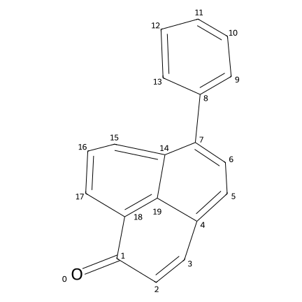 O=C1C=Cc2ccc(-c3ccccc3)c3cccc1c23